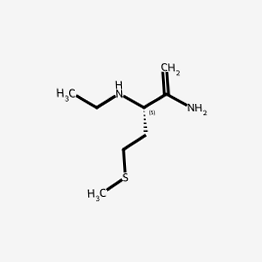 C=C(N)[C@H](CCSC)NCC